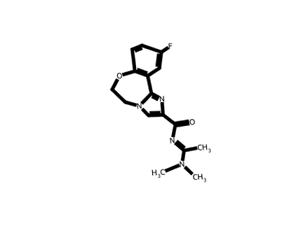 C/C(=N\C(=O)c1cn2c(n1)-c1cc(F)ccc1OCC2)N(C)C